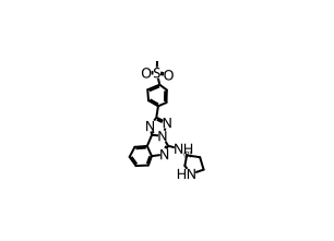 CS(=O)(=O)c1ccc(-c2nc3c4ccccc4nc(N[C@@H]4CCNC4)n3n2)cc1